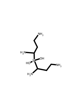 NCCC(N)[Si](O)(O)C(N)CCN